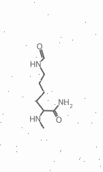 CNC(CCCCNC=O)C(N)=O